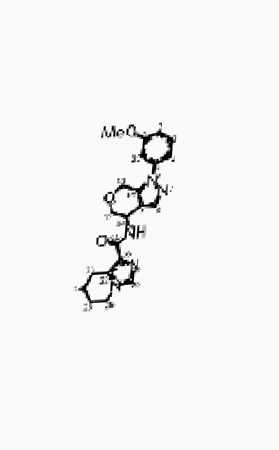 COc1cccc(-n2ncc3c2COCC3NC(=O)c2ncn3c2CCCC3)c1